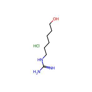 Cl.N=C(N)NCCCCCCO